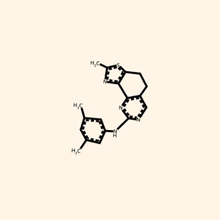 Cc1cc(C)cc(Nc2ncc3c(n2)-c2nc(C)sc2CC3)c1